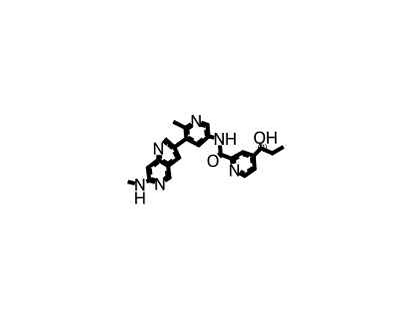 CC[C@@H](O)c1ccnc(C(=O)Nc2cnc(C)c(-c3cnc4cc(NC)ncc4c3)c2)c1